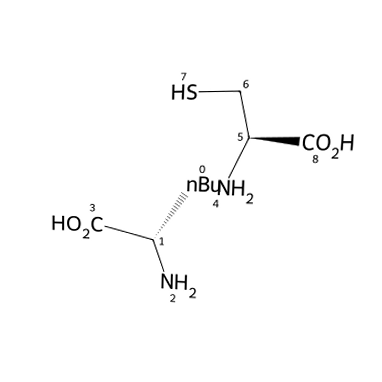 CCCC[C@H](N)C(=O)O.N[C@@H](CS)C(=O)O